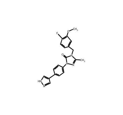 COc1cc(Cn2c(C)nn(-c3ccc(-c4cn[nH]c4)cc3)c2=O)ccc1F